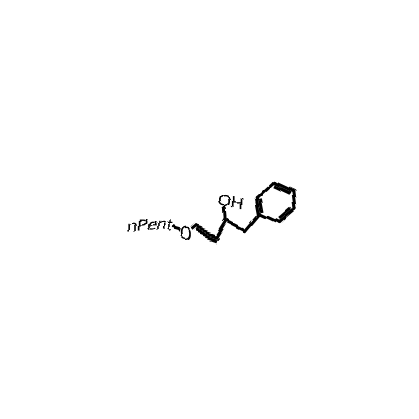 CCCCCOC=CC(O)Cc1ccccc1